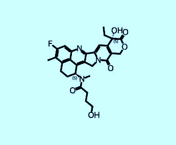 CC[C@@]1(O)C(=O)OCc2c1cc1n(c2=O)Cc2c-1nc1cc(F)c(C)c3c1c2[C@@H](N(C)C(=O)CCCO)CC3